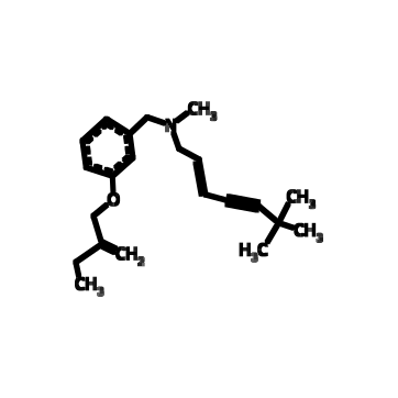 C=C(CC)COc1cccc(CN(C)CC=CC#CC(C)(C)C)c1